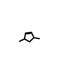 CC1[C]=CC(C)C1